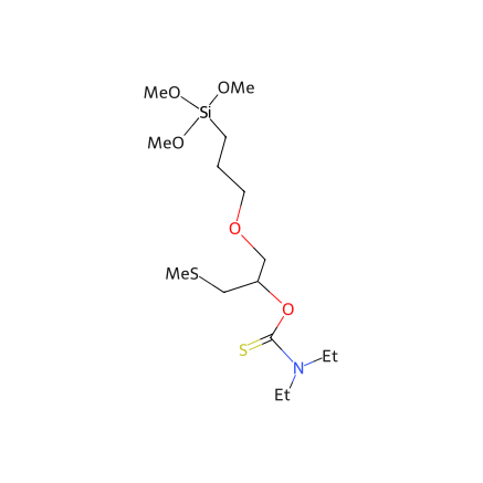 CCN(CC)C(=S)OC(COCCC[Si](OC)(OC)OC)CSC